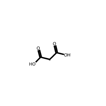 O=C(O)[C]C(=O)O